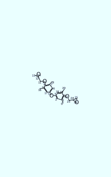 Cc1cc(Oc2cc(C)c(OCC3CO3)c(C)c2)cc(C)c1OCC1CO1